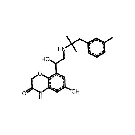 Cc1cccc(CC(C)(C)NCC(O)c2cc(O)cc3c2OCC(=O)N3)c1